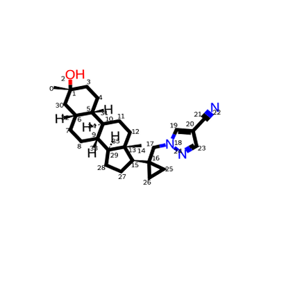 C[C@@]1(O)CC[C@H]2[C@H](CC[C@@H]3[C@@H]2CC[C@]2(C)[C@@H](C4(Cn5cc(C#N)cn5)CC4)CC[C@@H]32)C1